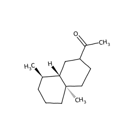 CC(=O)C1CC[C@@]2(C)CCC[C@@H](C)[C@@H]2C1